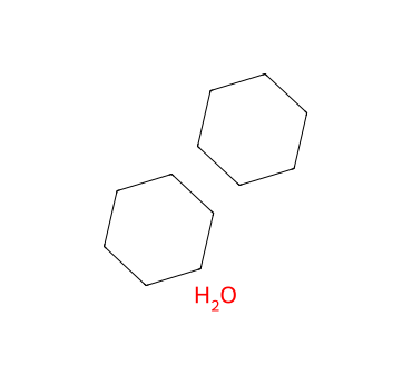 C1CCCCC1.C1CCCCC1.O